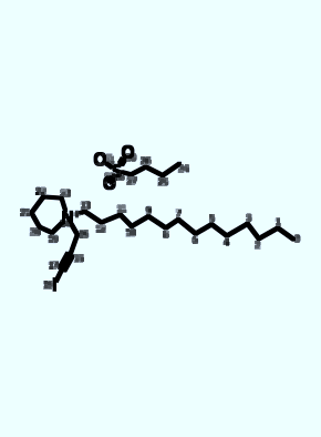 CCCCCCCCCCCCCC[N+]1(CC#CI)CCCCC1.CCCCS(=O)(=O)[O-]